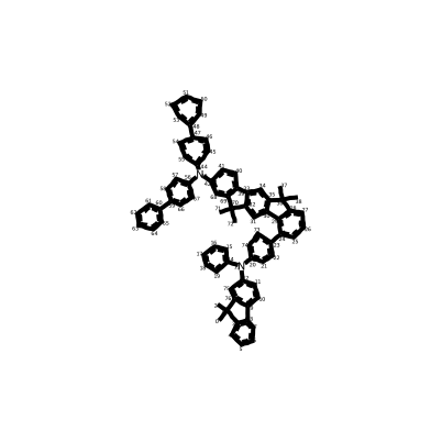 CC1(C)c2ccccc2-c2ccc(N(c3ccccc3)c3ccc(-c4cccc5c4-c4cc6c(cc4C5(C)C)-c4ccc(N(c5ccc(-c7ccccc7)cc5)c5ccc(-c7ccccc7)cc5)cc4C6(C)C)cc3)cc21